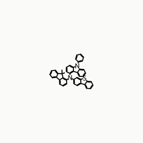 CC1(C)c2ccccc2-c2cccc(N(c3ccc4c(c3)sc3ccccc34)c3cccc4c3c3ccccc3n4-c3ccccc3)c21